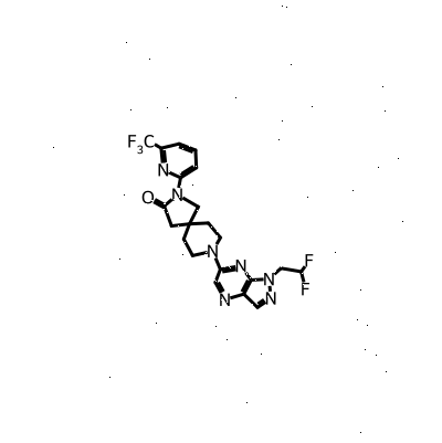 O=C1CC2(CCN(c3cnc4cnn(CC(F)F)c4n3)CC2)CN1c1cccc(C(F)(F)F)n1